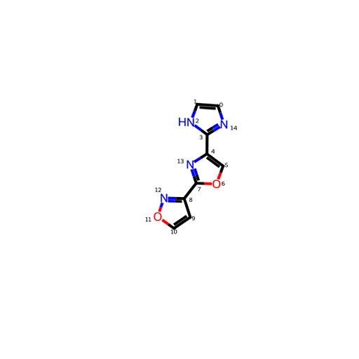 c1c[nH]c(-c2coc(-c3ccon3)n2)n1